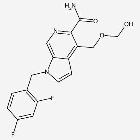 NC(=O)c1ncc2c(ccn2Cc2ccc(F)cc2F)c1COCO